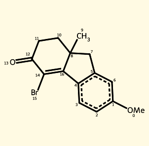 COc1ccc2c(c1)CC1(C)CCC(=O)C(Br)=C21